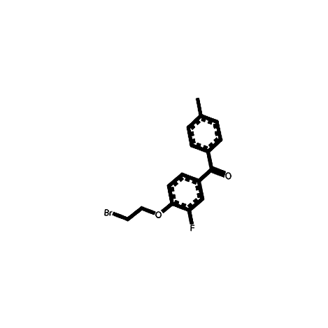 Cc1ccc(C(=O)c2ccc(OCCBr)c(F)c2)cc1